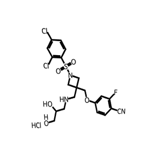 Cl.N#Cc1ccc(OCC2(CNCC(O)CO)CN(S(=O)(=O)c3ccc(Cl)cc3Cl)C2)cc1F